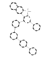 C[Si]1(C)c2cc3ccccc3cc2-c2c(-c3cccc(-c4cccc(-c5ccc(-c6ccccc6)cc5)c4)c3)nc(-c3ccccc3)nc21